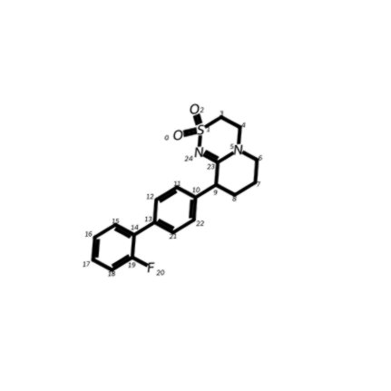 O=S1(=O)CCN2CCCC(c3ccc(-c4ccccc4F)cc3)C2=N1